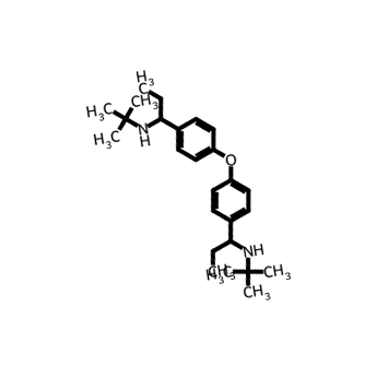 CCC(NC(C)(C)C)c1ccc(Oc2ccc(C(CC)NC(C)(C)C)cc2)cc1